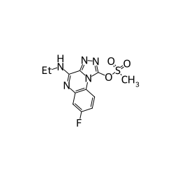 CCNc1nc2cc(F)ccc2n2c(OS(C)(=O)=O)nnc12